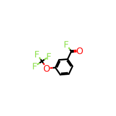 O=C(F)c1cccc(OC(F)(F)F)c1